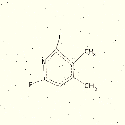 Cc1cc(F)nc(I)c1C